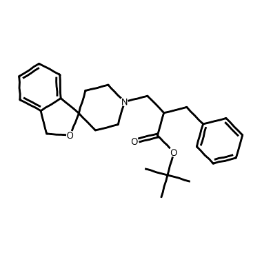 CC(C)(C)OC(=O)C(Cc1ccccc1)CN1CCC2(CC1)OCc1ccccc12